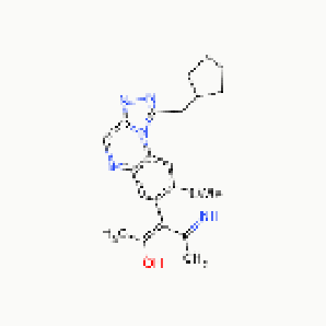 COc1cc2c(cc1/C(C(C)=N)=C(\C)O)ncc1nnc(CC3CCCC3)n12